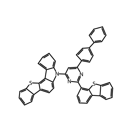 c1ccc(-c2ccc(-c3cc(-n4c5ccccc5c5c6sc7ccccc7c6ccc54)nc(-c4cccc5c4sc4ccccc45)n3)cc2)cc1